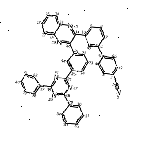 N#Cc1ccc(-c2cccc(-c3nc4ccccc4nc3-c3cccc(-c4nc(-c5ccccc5)nc(-c5ccccc5)n4)c3)c2)cc1